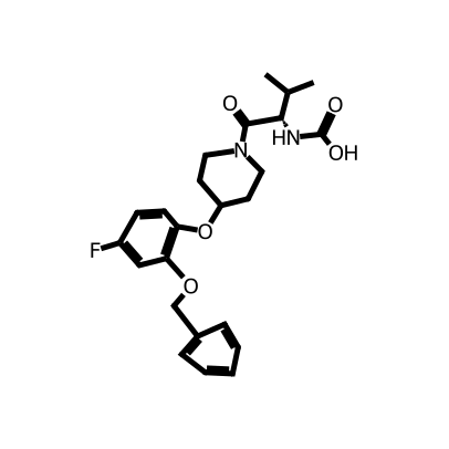 CC(C)[C@H](NC(=O)O)C(=O)N1CCC(Oc2ccc(F)cc2OCc2ccccc2)CC1